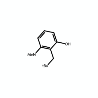 CNc1cccc(O)c1CC(C)(C)C